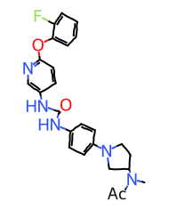 CC(=O)N(C)C1CCN(c2ccc(NC(=O)Nc3ccc(Oc4ccccc4F)nc3)cc2)C1